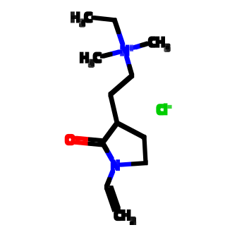 C=CN1CCC(CC[N+](C)(C)CC)C1=O.[Cl-]